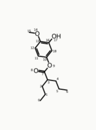 CCCC(CCC)C(=O)Oc1ccc(OC)c(O)c1